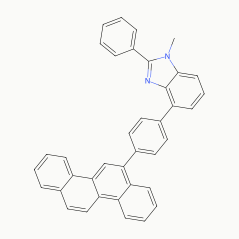 Cn1c(-c2ccccc2)nc2c(-c3ccc(-c4cc5c6ccccc6ccc5c5ccccc45)cc3)cccc21